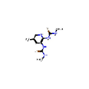 CCOC(=O)NC(=S)Nc1cc(C(F)(F)F)cnc1NC(=S)NC(=O)OCC